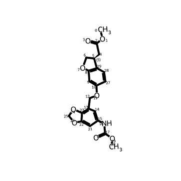 COC(=O)C[C@@H]1COc2cc(OCc3cc(NC(=O)OC)cc4c3OCO4)ccc21